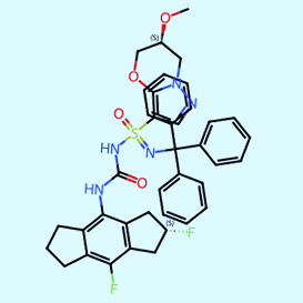 CO[C@@H]1COc2c(S(=O)(=NC(c3ccccc3)(c3ccccc3)c3ccccc3)NC(=O)Nc3c4c(c(F)c5c3C[C@H](F)C5)CCC4)cnn2C1